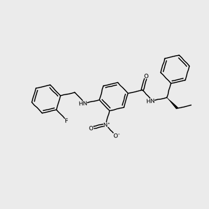 CC[C@@H](NC(=O)c1ccc(NCc2ccccc2F)c([N+](=O)[O-])c1)c1ccccc1